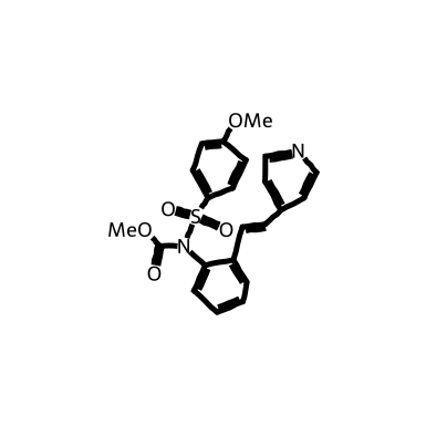 COC(=O)N(c1ccccc1/C=C/c1ccncc1)S(=O)(=O)c1ccc(OC)cc1